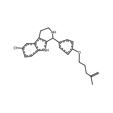 C=C(C)CCCOc1ccc(C2NCCc3c2[nH]c2ccc(Cl)cc32)cc1